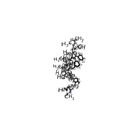 CC/C=C(/CNC(=O)c1cc(S(=O)(=O)OCC(C)(O)C(=O)[C@H](CC(C)C)NC(=O)[C@H](Cc2ccccc2)NC(=O)[C@H](CC(C)C)NC(=O)[C@H](CCc2ccccc2)NC(=O)CN(CCO)CCC(C)CC)ccc1F)N=N